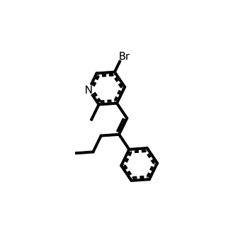 CCC/C(=C\c1cc(Br)cnc1C)c1ccccc1